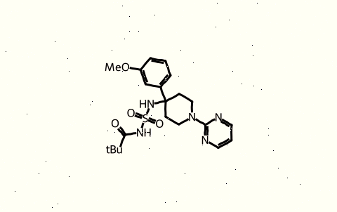 COc1cccc(C2(NS(=O)(=O)NC(=O)C(C)(C)C)CCN(c3ncccn3)CC2)c1